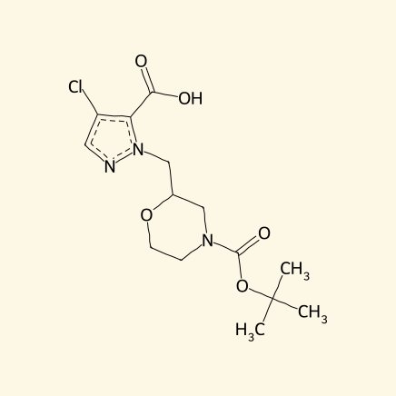 CC(C)(C)OC(=O)N1CCOC(Cn2ncc(Cl)c2C(=O)O)C1